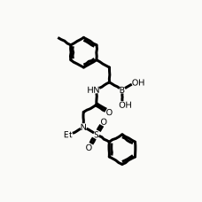 CCN(CC(=O)NC(Cc1ccc(C)cc1)B(O)O)S(=O)(=O)c1ccccc1